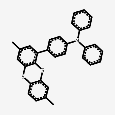 Cc1ccc2c(c1)Sc1c(cc(C)cc1-c1ccc(N(c3ccccc3)c3ccccc3)cc1)S2